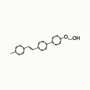 Cc1ccc(C=Cc2ccc(-c3ccc(OCO)cc3)cc2)cc1